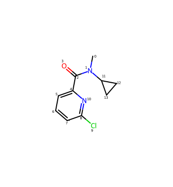 CN(C(=O)c1cc[c]c(Cl)n1)C1CC1